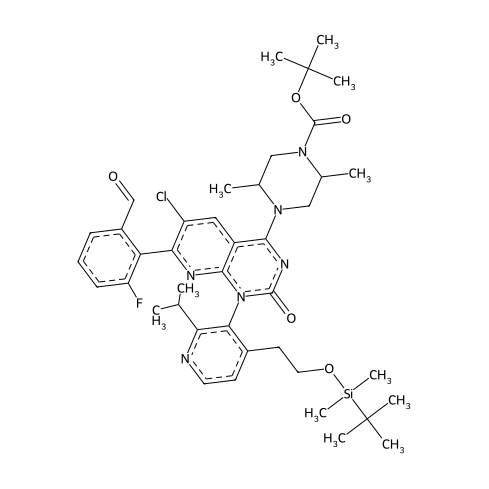 CC(C)c1nccc(CCO[Si](C)(C)C(C)(C)C)c1-n1c(=O)nc(N2CC(C)N(C(=O)OC(C)(C)C)CC2C)c2cc(Cl)c(-c3c(F)cccc3C=O)nc21